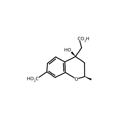 C[C@@H]1C[C@@](O)(CC(=O)O)c2ccc(C(=O)O)cc2O1